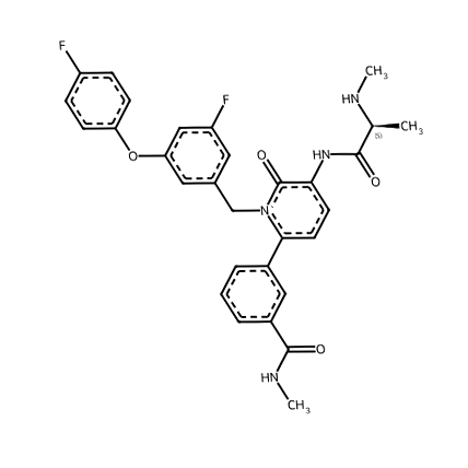 CNC(=O)c1cccc(-c2ccc(NC(=O)[C@H](C)NC)c(=O)n2Cc2cc(F)cc(Oc3ccc(F)cc3)c2)c1